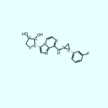 O[C@@H]1[C@H](O)CS[C@H]1c1cnc2c(N[C@H]3C[C@@H]3c3cccc(F)c3)nccn12